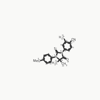 COc1ccc(N2C(=S)N(c3ccc(C#N)c(C)c3)C(=O)C2(C)C)cc1